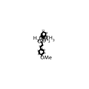 COc1ccc(C=CC(=O)OC2CC3CCC2(C)C3(C)C)cc1